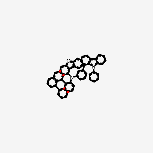 c1ccc(-c2cccc3cccc(-c4ccccc4N(c4cccc(-c5cccc6c7ccccc7n(-c7ccccc7)c56)c4)c4cccc5oc6ccccc6c45)c23)cc1